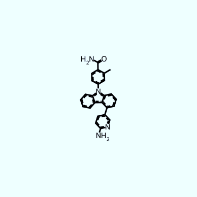 Cc1cc(-n2c3ccccc3c3c(-c4ccc(N)nc4)cccc32)ccc1C(N)=O